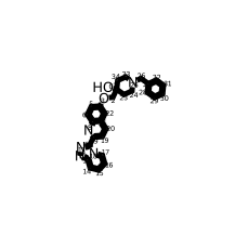 OC1(COc2ccc3nc(-c4nnc5ccccn45)ccc3c2)CCN(Cc2ccccc2)CC1